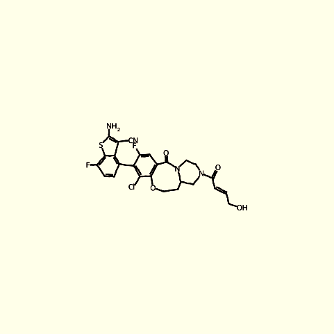 N#Cc1c(N)sc2c(F)ccc(-c3c(F)cc4c(c3Cl)OCCC3CN(C(=O)/C=C/CO)CCN3C4=O)c12